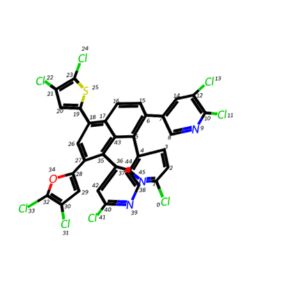 Clc1ccc(-c2c(-c3cnc(Cl)c(Cl)c3)ccc3c(-c4cc(Cl)c(Cl)s4)[c]c(-c4cc(Cl)c(Cl)o4)c(-c4ccnc(Cl)c4)c23)cn1